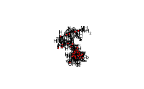 CSCC[C@H](NC(=O)[C@H](C)NC(=O)CNC(=O)[C@@H]1CCCN1C(=O)[C@H](CC(C)C)NC(=O)[C@H](CCCNC(=N)N)NC(=O)[C@@H](N)CCSC)C(=O)N1CCC[C@H]1C(=O)N[C@@H](C)C(=O)N[C@@H](CC(C)C)C(=O)N[C@@H](C)C(=O)N[C@@H](CC(C)C)C(=O)N[C@@H](CCCCN)C(=O)NCC(=O)N[C@@H](CCC(=O)O)C(=O)N[C@@H](CC(C)C)C(=O)N[C@@H](CC(C)C)C(=O)N[C@@H](CC(C)C)C(=O)N[C@@H](CC(C)C)C(=O)N[C@@H](CO)C(=O)O